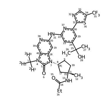 [2H]C([2H])([2H])n1c(=O)n([C@@H]2CC[C@](C)(NC(=O)CC)C2)c2cc(Nc3cc(C(C)(C)O)cc(-c4ncc(C(F)(F)F)s4)n3)ncc21